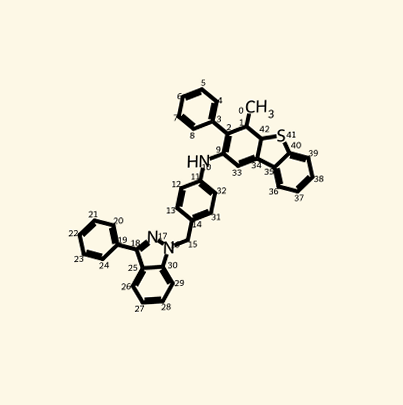 CC1C(c2ccccc2)=C(Nc2ccc(Cn3nc(-c4ccccc4)c4ccccc43)cc2)C=C2c3ccccc3SC21